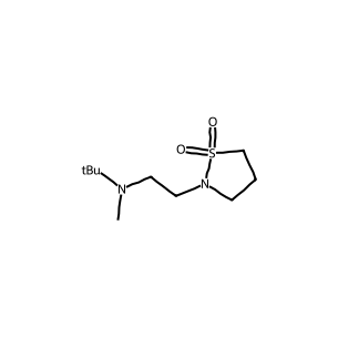 CN(CCN1CCCS1(=O)=O)C(C)(C)C